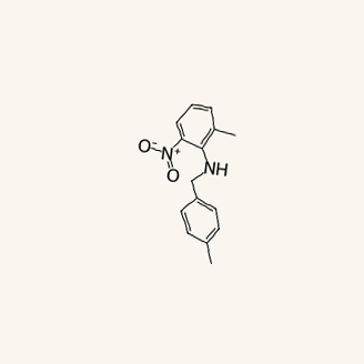 Cc1ccc(CNc2c(C)cccc2[N+](=O)[O-])cc1